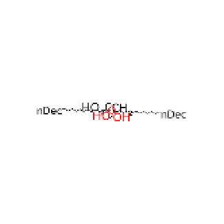 C=CC(=O)O.CCCCCCCCCCCCCCCCCCCCCCOCCCCCCCCCCCCCCCCCCCCCC.OCCO